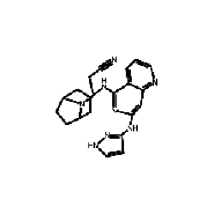 N#CCCN1C2CCC1CC(Nc1nc(Nc3cc[nH]n3)cc3ncccc13)C2